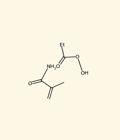 C=C(C)C(N)=O.CCC(=O)OO